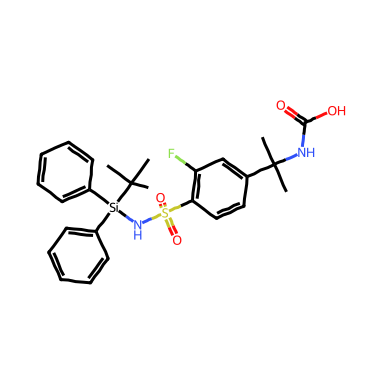 CC(C)(NC(=O)O)c1ccc(S(=O)(=O)N[Si](c2ccccc2)(c2ccccc2)C(C)(C)C)c(F)c1